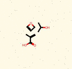 C1=COC1.C=C(C)C(=O)O.CC(C)O